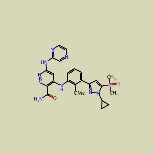 COc1c(Nc2cc(Nc3cnccn3)nnc2C(N)=O)cccc1-c1cc(P(C)(C)=O)n(C2CC2)n1